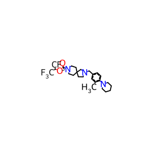 Cc1cc(CN2CCC3(CCN(C(=O)OC(C(F)(F)F)C(F)(F)F)CC3)C2)ccc1N1CCCCC1